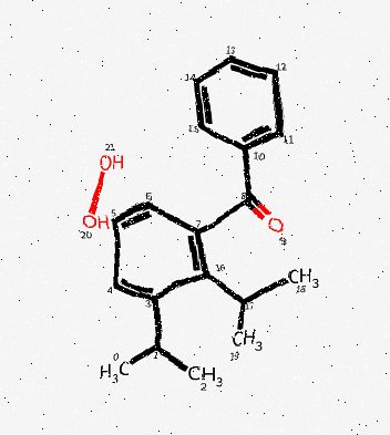 CC(C)c1cccc(C(=O)c2ccccc2)c1C(C)C.OO